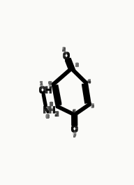 NO.O=C1C=CC(=O)C=C1